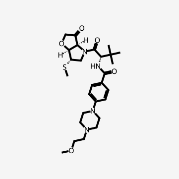 COCCN1CCN(c2ccc(C(=O)N[C@H](C(=O)N3C[C@H](SC)[C@H]4OCC(=O)[C@H]43)C(C)(C)C)cc2)CC1